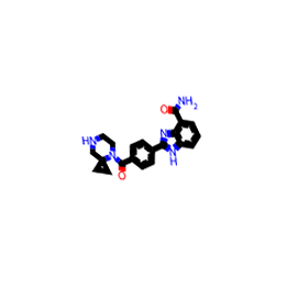 NC(=O)c1cccc2[nH]c(-c3ccc(C(=O)N4CCNCC45CC5)cc3)nc12